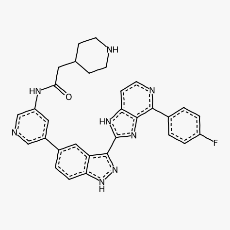 O=C(CC1CCNCC1)Nc1cncc(-c2ccc3[nH]nc(-c4nc5c(-c6ccc(F)cc6)nccc5[nH]4)c3c2)c1